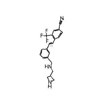 N#Cc1ccc(/C=C/c2cccc(CNCC3CNC3)c2)c(C(F)(F)F)c1